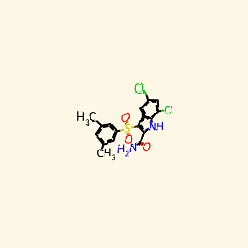 Cc1cc(C)cc(S(=O)(=O)c2c(C(N)=O)[nH]c3c(Cl)cc(Cl)cc23)c1